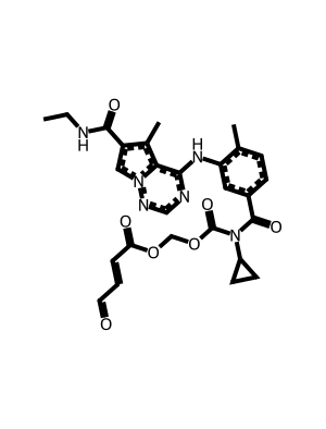 CCNC(=O)c1cn2ncnc(Nc3cc(C(=O)N(C(=O)OCOC(=O)/C=C/C=O)C4CC4)ccc3C)c2c1C